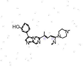 C=N/C(=C\C=C(/C)c1cn2c(-c3cccc(O)c3)cnc2cn1)N1CCN(C)CC1